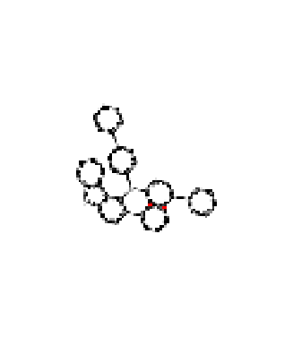 c1ccc(-c2ccc(N(c3ccc(-c4ccccc4)cc3)c3c(-c4ccccc4)ccc4sc5ccccc5c34)cc2)cc1